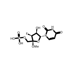 CO[C@]1(COP(=O)(O)O)O[C@@H](n2ccc(=O)[nH]c2=O)[C@H](O)[C@@H]1F